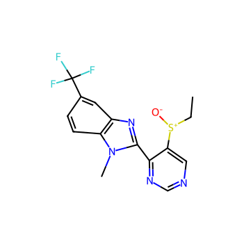 CC[S+]([O-])c1cncnc1-c1nc2cc(C(F)(F)F)ccc2n1C